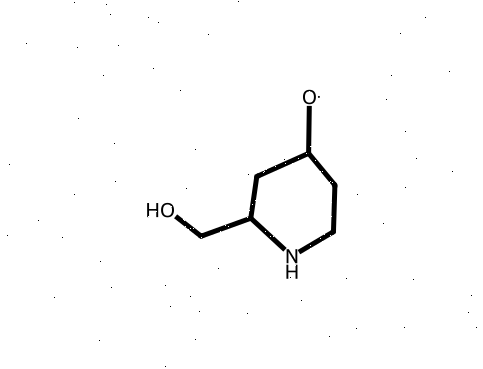 [O]C1CCNC(CO)C1